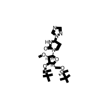 CO[C@H]1C(O[Si](C)(C)C(C)(C)C)[C@@H](CO[Si](C)(C)C(C)(C)C)O[C@H]1N1C=CC(n2cncn2)NC1=O